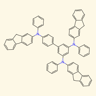 c1ccc(N(c2ccc(-c3cc(N(c4ccccc4)c4ccc5c(c4)Cc4ccccc4-5)cc(N(c4ccccc4)c4ccc5c(c4)Cc4ccccc4-5)c3)cc2)c2ccc3c(c2)Cc2ccccc2-3)cc1